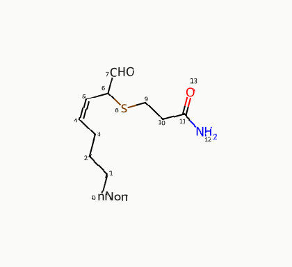 CCCCCCCCCCCC/C=C\C(C=O)SCCC(N)=O